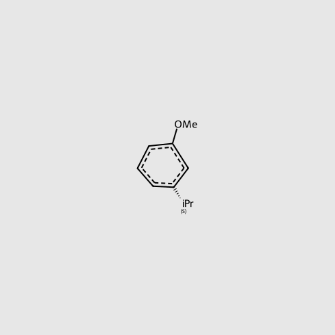 [CH2][C@@H](C)c1cccc(OC)c1